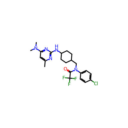 Cc1cc(N(C)C)nc(NC2CCC(CN(C(=O)C(F)(F)F)c3ccc(Cl)cc3)CC2)n1